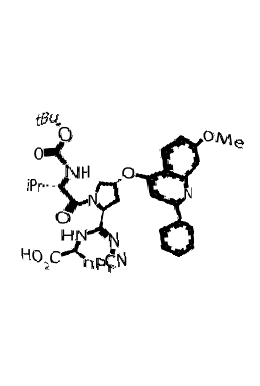 CCC[C@H](NC(=NC#N)[C@@H]1C[C@@H](Oc2cc(-c3ccccc3)nc3cc(OC)ccc23)CN1C(=O)[C@@H](NC(=O)OC(C)(C)C)C(C)C)C(=O)O